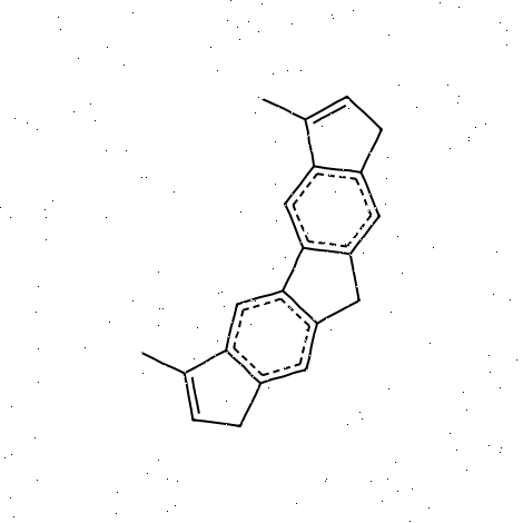 CC1=CCc2cc3c(cc21)-c1cc2c(cc1C3)CC=C2C